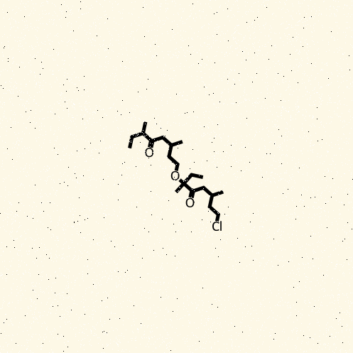 CCC(C)C(=O)CC(C)CCOC(C)(CC)C(=O)CC(C)CCCl